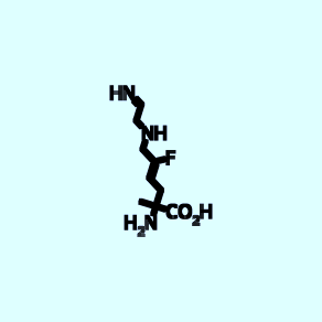 CC(N)(CC=C(F)CNCC=N)C(=O)O